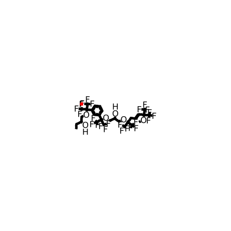 CCC(O)COC(c1cccc(C(OCC(O)COC(C/C=C/C(OC)(C(F)(F)F)C(F)(F)F)(C(F)(F)F)C(F)(F)F)(C(F)(F)F)C(F)(F)F)c1)(C(F)(F)F)C(F)(F)F